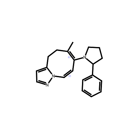 C/C1=C(N2CCCC2c2ccccc2)/C=C\n2nccc2CC1